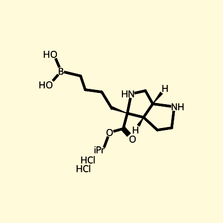 CC(C)OC(=O)[C@]1(CCCCB(O)O)NC[C@@H]2NCC[C@@H]21.Cl.Cl